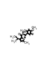 CCC(C)c1cc(C)n2nc(-c3cc(F)c(OC)cc3C)n(C)c(=O)c12